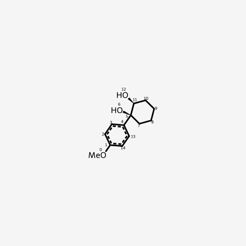 COc1ccc([C@@]2(O)CCCC[C@@H]2O)cc1